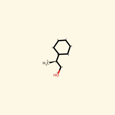 C[C@H](CO)C1CCCCC1